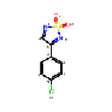 O=S1(=O)N=CC(c2ccc(Cl)cc2)=N1